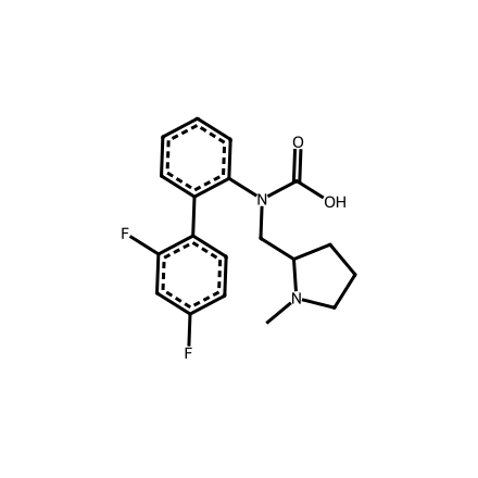 CN1CCCC1CN(C(=O)O)c1ccccc1-c1ccc(F)cc1F